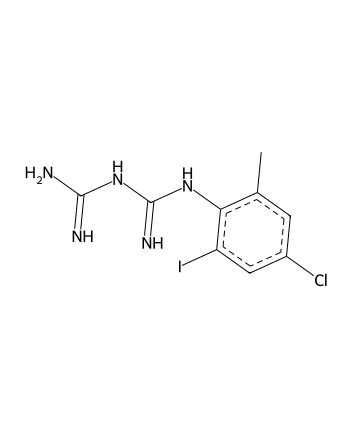 Cc1cc(Cl)cc(I)c1NC(=N)NC(=N)N